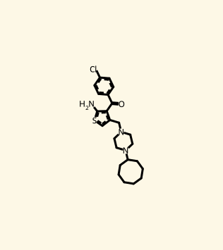 Nc1scc(CN2CCN(C3CCCCCCC3)CC2)c1C(=O)c1ccc(Cl)cc1